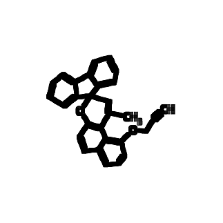 C#CCOc1cccc2ccc3c(c12)C(C)=CC1(O3)c2ccccc2-c2ccccc21